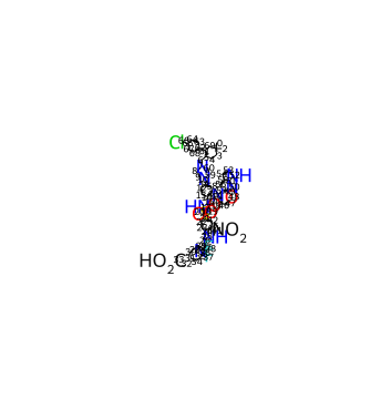 CC1(C)CCC(CN2CCN(c3ccc(C(=O)NS(=O)(=O)c4ccc(NCCN5C6C[C@@H](CC(=O)O)CC5C(F)(F)C6)c([N+](=O)[O-])c4)c(N4CCCOc5nc6[nH]ccc6cc54)c3)CC2)=C(c2ccc(Cl)cc2)C1